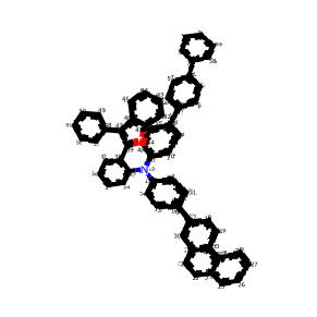 c1ccc(-c2ccc(-c3ccc(N(c4ccc(-c5ccc6c(ccc7ccccc76)c5)cc4)c4ccccc4-c4oc5ccccc5c4-c4ccccc4)cc3)cc2)cc1